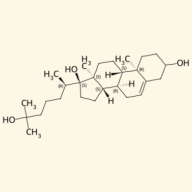 C[C@H](CCCC(C)(C)O)[C@@]1(O)CC[C@H]2[C@@H]3CC=C4CC(O)CC[C@]4(C)[C@H]3CC[C@@]21C